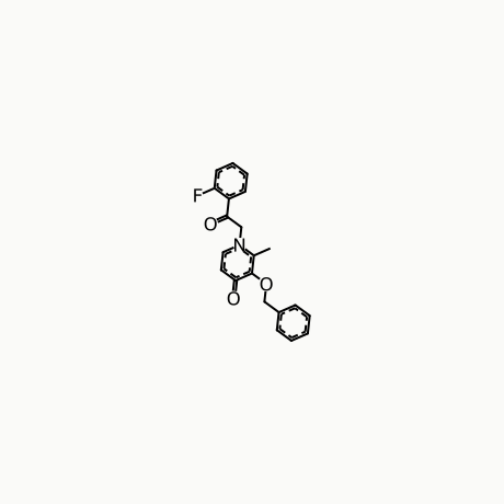 Cc1c(OCc2ccccc2)c(=O)ccn1CC(=O)c1ccccc1F